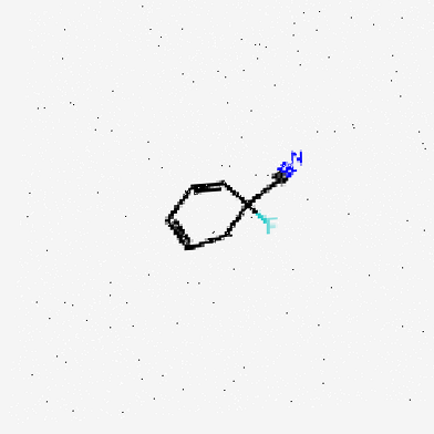 N#CC1(F)[CH]C=CC=C1